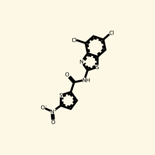 O=C(Nc1nc2c(Cl)cc(Cl)cc2s1)c1ccc([N+](=O)[O-])s1